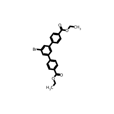 CCOC(=O)c1ccc(-c2cc(Br)cc(-c3ccc(C(=O)OCC)cc3)c2)cc1